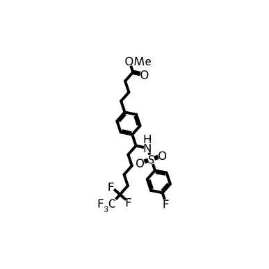 COC(=O)CCCc1ccc(C(CCCCC(F)(F)C(F)(F)F)NS(=O)(=O)c2ccc(F)cc2)cc1